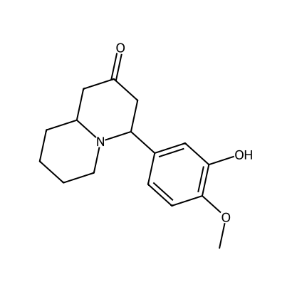 COc1ccc(C2CC(=O)CC3CCCCN32)cc1O